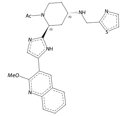 COc1nc2ccccc2cc1-c1cnc([C@@H]2C[C@@H](NCc3nccs3)CCN2C(C)=O)[nH]1